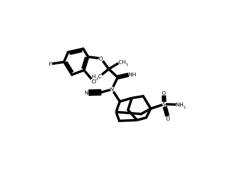 CC(C)(Oc1ccc(F)cc1Cl)C(=N)N(C#N)C1C2CC3CC1CC(S(N)(=O)=O)(C3)C2